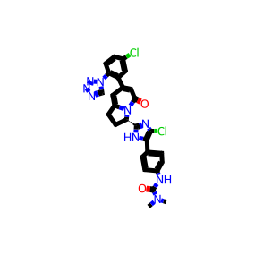 CN(C)C(=O)Nc1ccc(-c2[nH]c([C@@H]3CCc4cc(-c5cc(Cl)ccc5-n5cnnn5)cc(=O)n43)nc2Cl)cc1